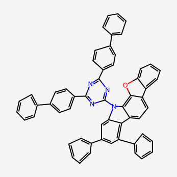 c1ccc(-c2ccc(-c3nc(-c4ccc(-c5ccccc5)cc4)nc(-n4c5cc(-c6ccccc6)cc(-c6ccccc6)c5c5ccc6c7ccccc7oc6c54)n3)cc2)cc1